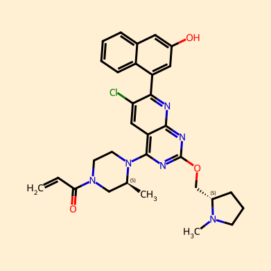 C=CC(=O)N1CCN(c2nc(OC[C@@H]3CCCN3C)nc3nc(-c4cc(O)cc5ccccc45)c(Cl)cc23)[C@@H](C)C1